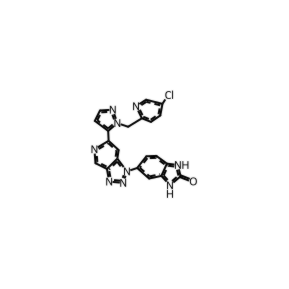 O=c1[nH]c2ccc(-n3nnc4cnc(-c5ccnn5Cc5ccc(Cl)cn5)cc43)cc2[nH]1